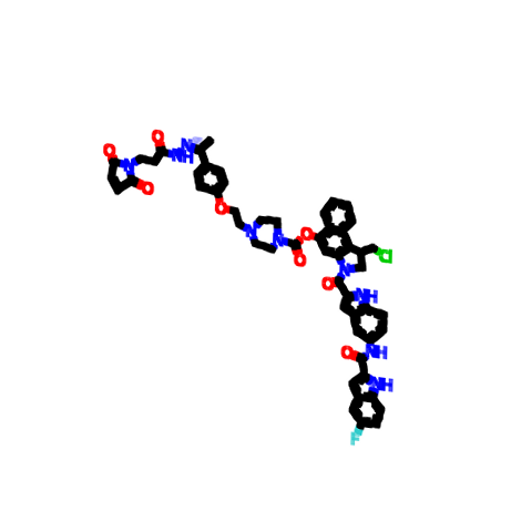 C/C(=N/NC(=O)CCN1C(=O)C=CC1=O)c1ccc(OCCN2CCN(C(=O)Oc3cc4c(c5ccccc35)C(CCl)CN4C(=O)c3cc4cc(NC(=O)c5cc6cc(F)ccc6[nH]5)ccc4[nH]3)CC2)cc1